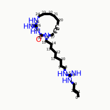 C/C=C/CNC(=N)NCCCCCCCCN1CCCCCCCCNC(=N)NC1=O